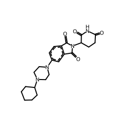 O=C1CCC(N2C(=O)c3ccc(N4CCN(C5CCCCC5)CC4)cc3C2=O)C(=O)N1